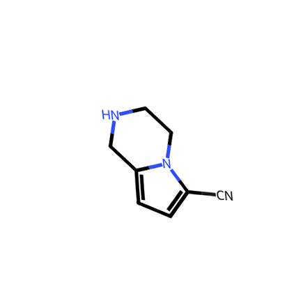 N#Cc1ccc2n1CCNC2